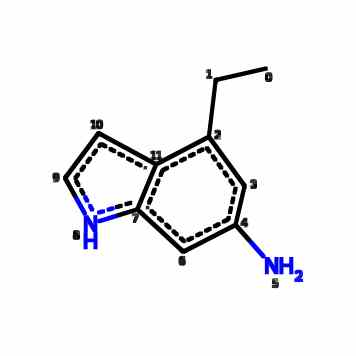 CCc1cc(N)cc2[nH]ccc12